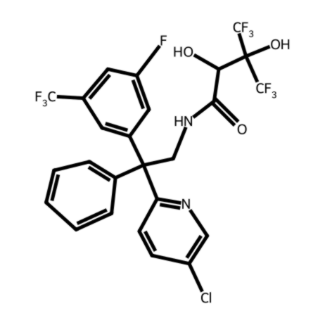 O=C(NCC(c1ccccc1)(c1cc(F)cc(C(F)(F)F)c1)c1ccc(Cl)cn1)C(O)C(O)(C(F)(F)F)C(F)(F)F